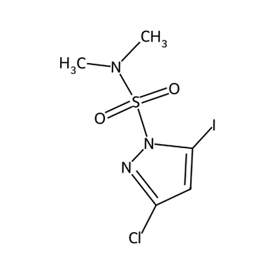 CN(C)S(=O)(=O)n1nc(Cl)cc1I